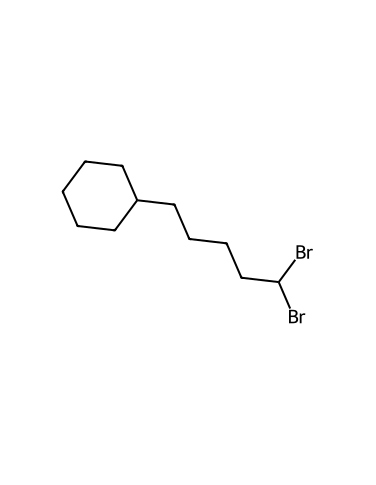 BrC(Br)CCCCC1CCCCC1